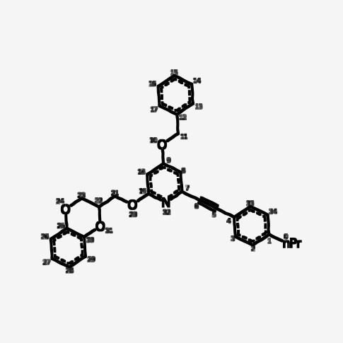 CCCc1ccc(C#Cc2cc(OCc3ccccc3)cc(OCC3COc4ccccc4O3)n2)cc1